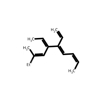 C=CC(=C\C=C/C)/C(/C=C(\C)CC)=C/C